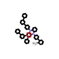 CC1CC=CC=C1c1ccc(N(c2ccc(-c3cccc(-c4ccccc4)c3)cc2)c2ccccc2N(c2ccc(-c3ccccc3)cc2)c2ccc(-c3cccc(-c4ccccc4)c3)cc2)cc1